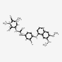 COc1cc2nccc(Oc3ccc(NC(=O)Oc4cn(C)c(=O)n(C)c4=O)cc3F)c2cc1OC